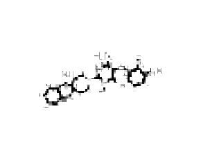 Cn1c(N2CCC3(CC2)Cc2ccccc2[C@H]3N)nc(N)c(Sc2cccc(C#N)c2F)c1=O